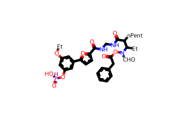 CCCCCC(C(=O)NCNC(=O)c1ccc(-c2cc(OCC)cc(O[PH](=O)O)c2)o1)C(CC)N(C=O)OC(=O)Cc1ccccc1